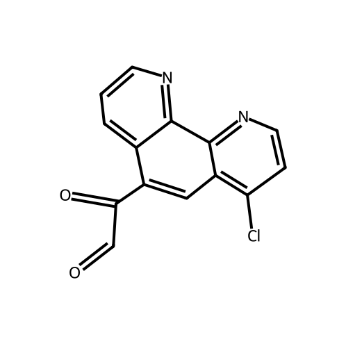 O=CC(=O)c1cc2c(Cl)ccnc2c2ncccc12